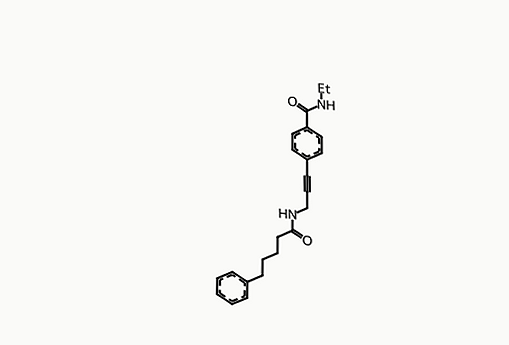 CCNC(=O)c1ccc(C#CCNC(=O)CCCCc2ccccc2)cc1